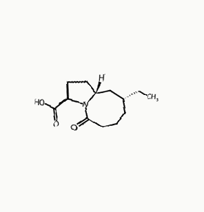 CC[C@@H]1CCCC(=O)N2C(C(=O)O)CC[C@@H]2C1